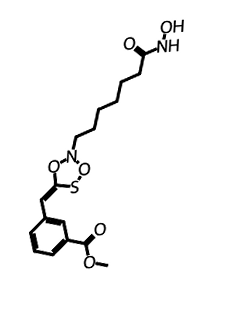 COC(=O)c1cccc(C=C2ON(CCCCCCC(=O)NO)OS2)c1